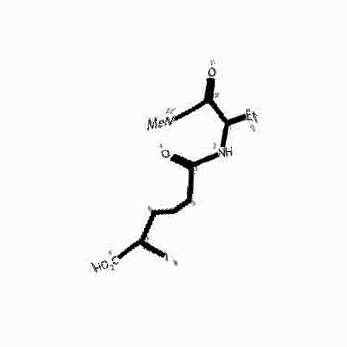 CCC(NC(=O)CCC(I)C(=O)O)C(=O)NC